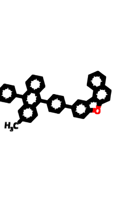 Cc1ccc2c(-c3ccc(-c4ccc5oc6ccc7ccccc7c6c5c4)cc3)c3ccccc3c(-c3ccccc3)c2c1